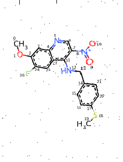 COc1cc2ncc([N+](=O)[O-])c(NCc3ccc(SC)cc3)c2cc1F